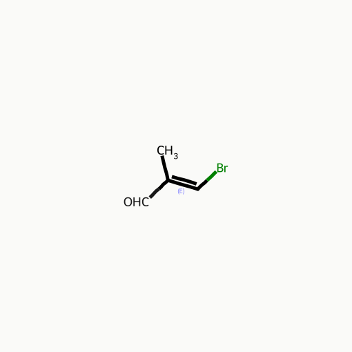 C/C(C=O)=C\Br